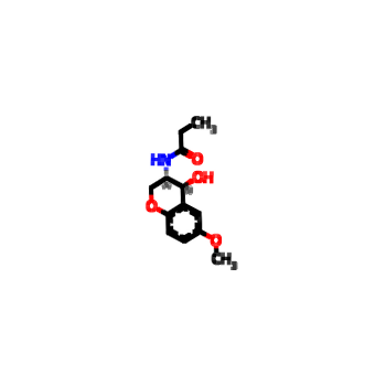 CCC(=O)N[C@H]1COc2ccc(OC)cc2[C@@H]1O